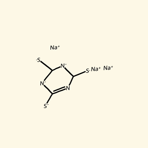 [Na+].[Na+].[Na+].[S]C1N=C([S-])[N-]C([S])[N-]1